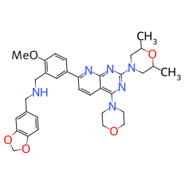 COc1ccc(-c2ccc3c(N4CCOCC4)nc(N4CC(C)OC(C)C4)nc3n2)cc1CNCc1ccc2c(c1)OCO2